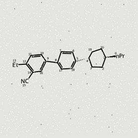 CCC[C@H]1CC[C@H](c2ccc(-c3ccc(CC)c(C#N)c3)cc2)CC1